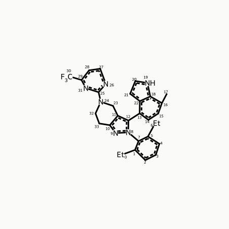 CCc1cccc(CC)c1-n1nc2c(c1-c1ccc(C)c3[nH]ccc13)CN(c1nccc(C(F)(F)F)n1)CC2